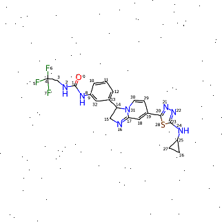 O=C(NCC(F)(F)F)Nc1cccc(C2CN=C3C=C(c4nnc(NC5CC5)s4)C=CN32)c1